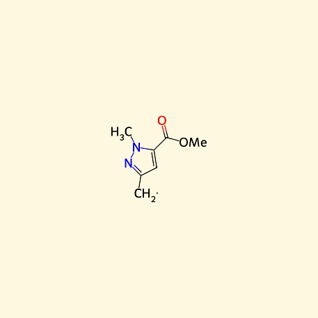 [CH2]c1cc(C(=O)OC)n(C)n1